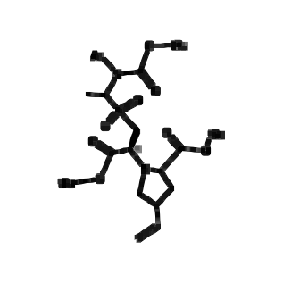 C=CC1CC(C(=O)OC(C)(C)C)N([C@H](CS(=O)(=O)C(C)N(C(C)=O)C(=O)OC(C)(C)C)C(=O)OC(C)(C)C)C1